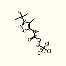 Cc1c(C(C)(C)C)noc1NC(=O)OCC(Cl)(Cl)Cl